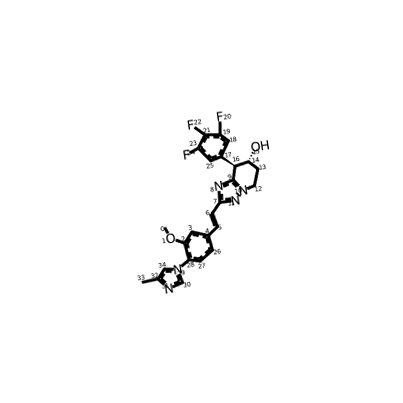 COc1cc(/C=C/c2nc3n(n2)CC[C@@H](O)[C@@H]3c2cc(F)c(F)c(F)c2)ccc1-n1cnc(C)c1